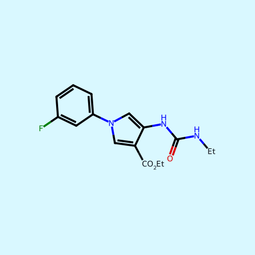 CCNC(=O)Nc1cn(-c2cccc(F)c2)cc1C(=O)OCC